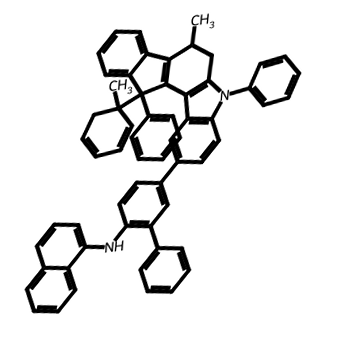 CC1Cc2c(c3cc(-c4ccc(Nc5cccc6ccccc56)c(-c5ccccc5)c4)ccc3n2-c2ccccc2)C2=C1c1ccccc1C2(c1ccccc1)C1(C)C=CC=CC1